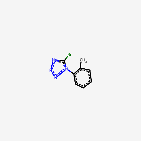 Cc1ccccc1-n1nnnc1Br